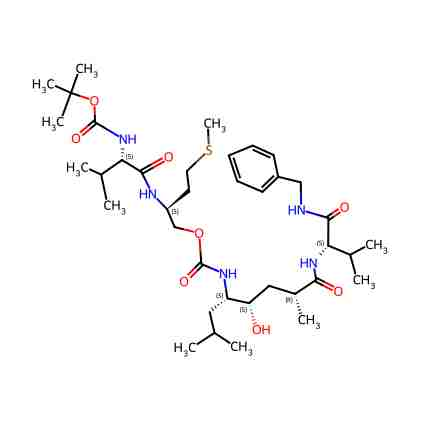 CSCC[C@@H](COC(=O)N[C@@H](CC(C)C)[C@@H](O)C[C@@H](C)C(=O)N[C@H](C(=O)NCc1ccccc1)C(C)C)NC(=O)[C@@H](NC(=O)OC(C)(C)C)C(C)C